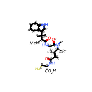 CN[C@H](C(=O)N[C@H](C(=O)N(C)[C@H](/C=C(\C)C(=O)N[C@@H](CS)C(=O)O)C(C)C)C(C)(C)C)C(C)(C)c1c[nH]c2ccccc12